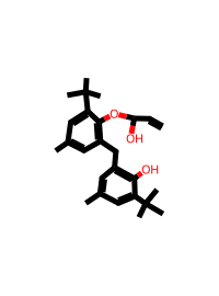 C=CC(O)Oc1c(Cc2cc(C)cc(C(C)(C)C)c2O)cc(C)cc1C(C)(C)C